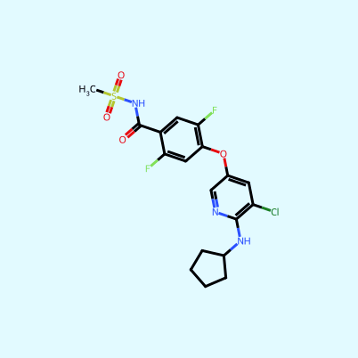 CS(=O)(=O)NC(=O)c1cc(F)c(Oc2cnc(NC3CCCC3)c(Cl)c2)cc1F